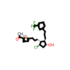 CC(=O)c1ccc(CCC[C@@H]2[C@@H](CCCc3cccc(C(F)(F)F)c3)[C@H](O)C[C@H]2Cl)s1